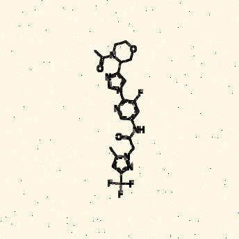 CC(=O)N1CCOCC1c1cn(-c2ncc(NC(=O)Cn3nc(C(F)(F)F)cc3C)cc2F)cn1